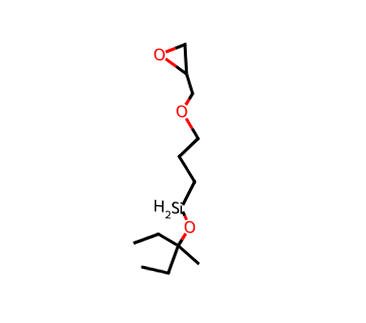 CCC(C)(CC)O[SiH2]CCCOCC1CO1